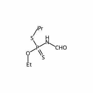 CCOP(=S)(NC=O)SC(C)C